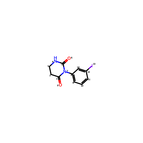 O=C1CCNC(=O)N1c1cccc(I)c1